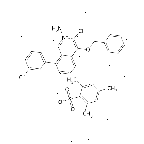 Cc1cc(C)c(S(=O)(=O)[O-])c(C)c1.N[n+]1cc2c(-c3cccc(Cl)c3)cccc2c(OCc2ccccc2)c1Cl